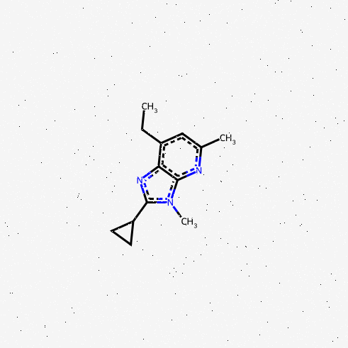 CCc1cc(C)nc2c1nc(C1CC1)n2C